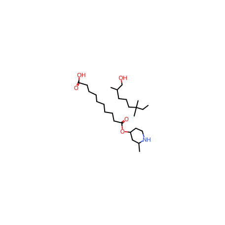 CC1CC(OC(=O)CCCCCCCCC(=O)O)CCN1.CCC(C)(C)CCCC(C)CO